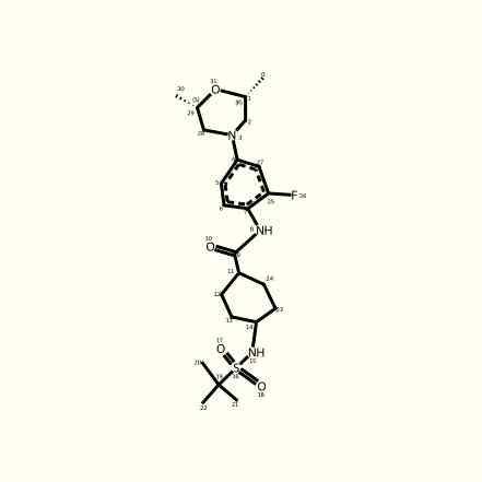 C[C@@H]1CN(c2ccc(NC(=O)C3CCC(NS(=O)(=O)C(C)(C)C)CC3)c(F)c2)C[C@H](C)O1